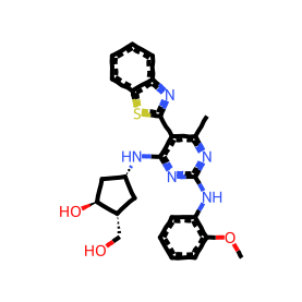 COc1ccccc1Nc1nc(C)c(-c2nc3ccccc3s2)c(N[C@@H]2C[C@H](CO)[C@@H](O)C2)n1